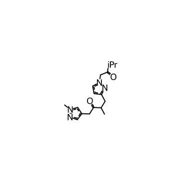 CC(C)C(=O)Cn1ccc(CC(C)C(=O)Cc2cnn(C)c2)n1